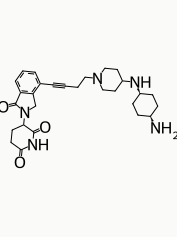 N[C@H]1CC[C@@H](NC2CCN(CCC#Cc3cccc4c3CN(C3CCC(=O)NC3=O)C4=O)CC2)CC1